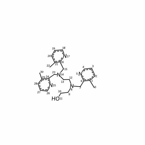 Cc1cccnc1CN(CCO)CCN(Cc1ncccc1C)Cc1ncccc1C